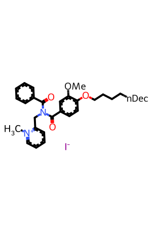 CCCCCCCCCCCCCCOc1ccc(C(=O)N(Cc2cccc[n+]2C)C(=O)c2ccccc2)cc1OC.[I-]